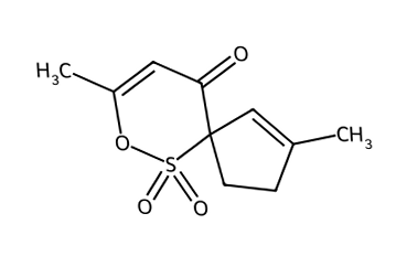 CC1=CC2(CC1)C(=O)C=C(C)OS2(=O)=O